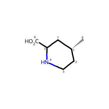 C[C@@H]1CCNC(C(=O)O)C1